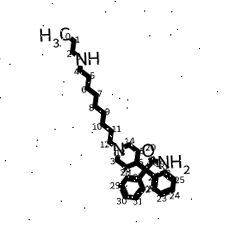 CCCNCCCCCCCCCN1CCC(C(C(N)=O)(c2ccccc2)c2ccccc2)CC1